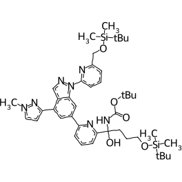 Cn1ccc(-c2cc(-c3cccc(C(O)(CCCO[Si](C)(C)C(C)(C)C)NC(=O)OC(C)(C)C)n3)cc3c2cnn3-c2cccc(CO[Si](C)(C)C(C)(C)C)n2)n1